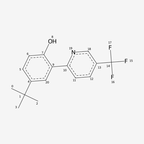 CC(C)(C)c1ccc(O)c(-c2ccc(C(F)(F)F)cn2)c1